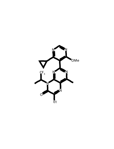 CCc1nc2c(C)nc(-c3c(OC)ncnc3C3CC3)nc2n(C(C)C(F)(F)F)c1=O